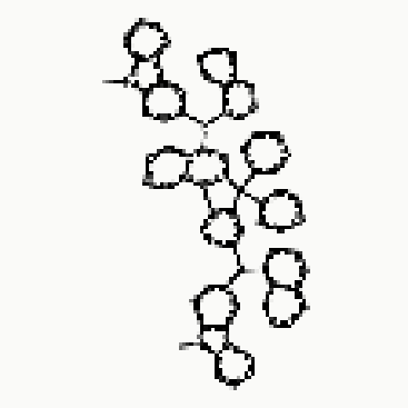 Cn1c2ccccc2c2cc(C(c3ccc4c(c3)C(c3ccccc3)(c3ccccc3)c3cc(N(c5ccc6c(c5)c5ccccc5n6C)c5cccc6ccccc56)c5ccccc5c3-4)c3cccc4ccccc34)ccc21